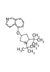 CC(C)(C)C1CC(Oc2cccc3cnccc23)CN1C(C)(C)C